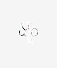 COc1cccc(F)c1C(O)N1CCCCC1